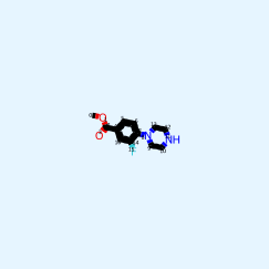 COC(=O)c1ccc(N2CCNCC2)c(F)c1